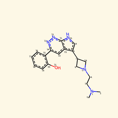 CN(C)CCN1CC(c2c[nH]c3nnc(-c4ccccc4O)cc23)C1